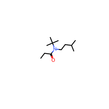 CCC(=O)N(CCC(C)C)C(C)(C)C